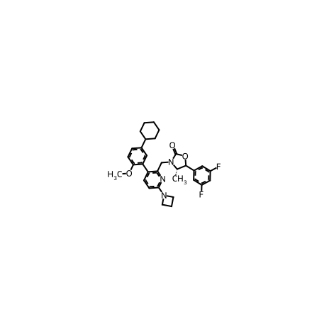 COc1ccc(C2CCCCC2)cc1-c1ccc(N2CCC2)nc1CN1C(=O)OC(c2cc(F)cc(F)c2)[C@@H]1C